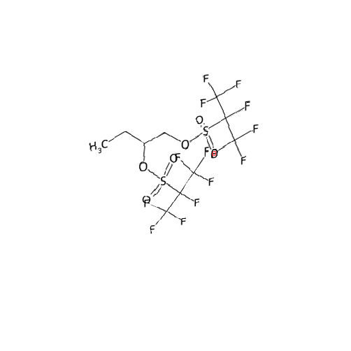 CCC(COS(=O)(=O)C(F)(C(F)(F)F)C(F)(F)F)OS(=O)(=O)C(F)(C(F)(F)F)C(F)(F)F